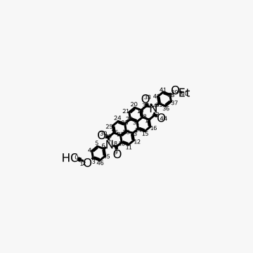 C#COc1ccc(N2C(=O)c3ccc4c5ccc6c7c(ccc(c8ccc(c3c48)C2=O)c75)C(=O)N(c2ccc(OCC)cc2)C6=O)cc1